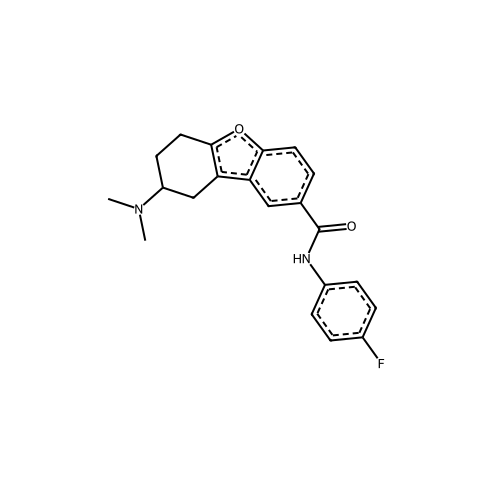 CN(C)C1CCc2oc3ccc(C(=O)Nc4ccc(F)cc4)cc3c2C1